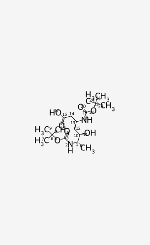 C[C@H](NC(=O)OC(C)(C)C)[C@H](O)C[C@@H](CC(=O)O)NC(=O)OC(C)(C)C